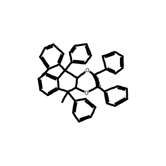 Cc1ccccc1C1(c2ccccc2)c2ccccc2C(C)(c2ccccc2)C(OC(=O)c2ccccc2)C1OC(=O)c1ccccc1